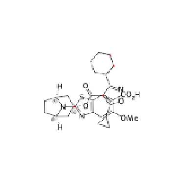 COc1cc2nc(N3[C@@H]4CC[C@H]3C[C@H](OC(=O)c3c(C56CCC(CC5)CC6)noc3C3CC3)C4)sc2cc1C(=O)O